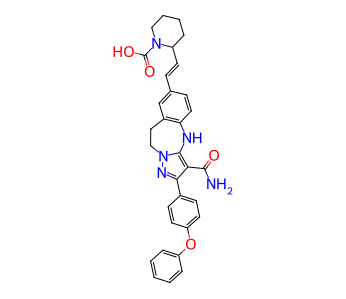 NC(=O)c1c(-c2ccc(Oc3ccccc3)cc2)nn2c1Nc1ccc(C=CC3CCCCN3C(=O)O)cc1CC2